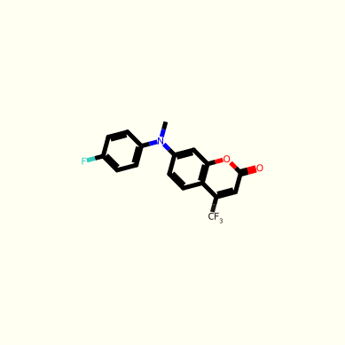 CN(c1ccc(F)cc1)c1ccc2c(C(F)(F)F)cc(=O)oc2c1